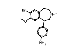 COc1cc2c(cc1Br)CCN(C)CC2c1ccc(N)cc1